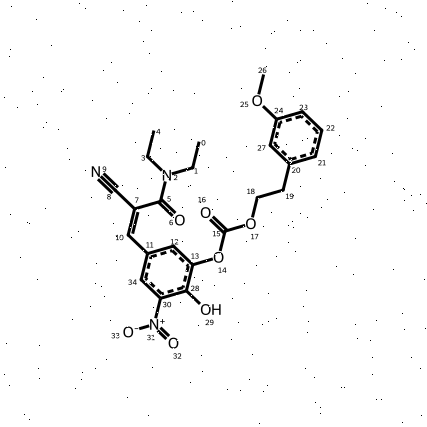 CCN(CC)C(=O)C(C#N)=Cc1cc(OC(=O)OCCc2cccc(OC)c2)c(O)c([N+](=O)[O-])c1